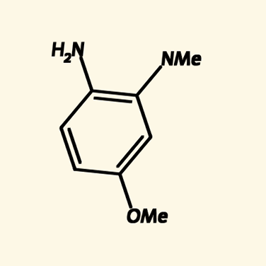 CNc1cc(OC)ccc1N